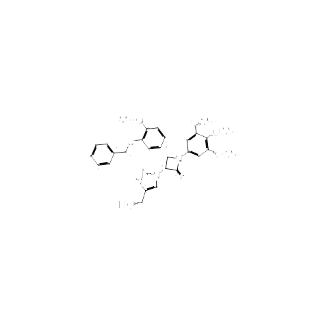 COc1ccc([C@H]2[C@H](n3cc(CO)nn3)C(=O)N2c2cc(OC)c(OC)c(OC)c2)cc1OCc1ccccc1